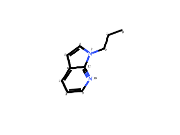 CCCn1ccc2c[c]cnc21